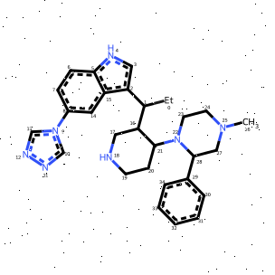 CCC(c1c[nH]c2ccc(-n3cnnc3)cc12)C1CNCCC1N1CCN(C)CC1c1ccccc1